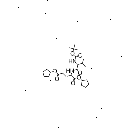 CC(C)C(NC(=O)OC(C)(C)C)C(=O)NC(CCC(=O)OC1CCCC1)C(=O)OC1CCCC1